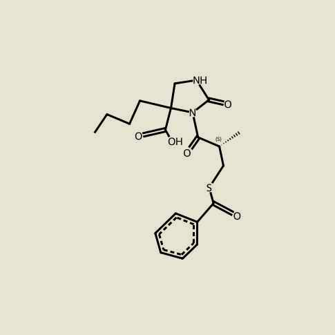 CCCCC1(C(=O)O)CNC(=O)N1C(=O)[C@H](C)CSC(=O)c1ccccc1